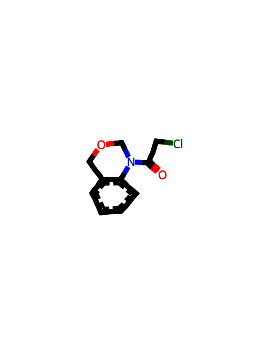 O=C(CCl)N1COCc2ccccc21